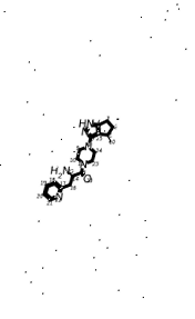 C[C@@H]1CCc2[nH]nc(N3CCN(C(=O)[C@H](N)Cc4ccccn4)CC3)c21